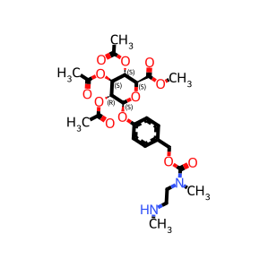 CNCCN(C)C(=O)OCc1ccc(O[C@@H]2O[C@H](C(=O)OC)[C@@H](OC(C)=O)[C@H](OC(C)=O)[C@H]2OC(C)=O)cc1